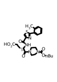 CCCCOC(=O)N1CCN(C(=O)[C@H](CCC(=O)O)NC(=O)c2csc(-c3ccccc3C)n2)CC1